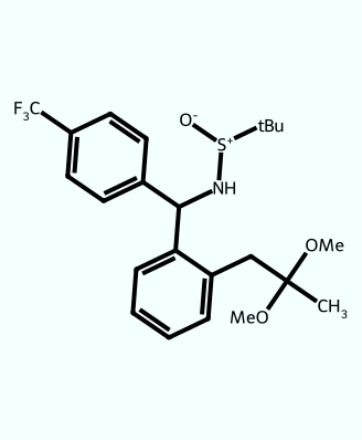 COC(C)(Cc1ccccc1C(N[S+]([O-])C(C)(C)C)c1ccc(C(F)(F)F)cc1)OC